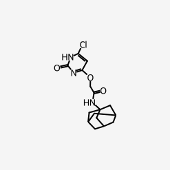 O=C(COc1cc(Cl)[nH]c(=O)n1)NC12CC3CC(CC(C3)C1)C2